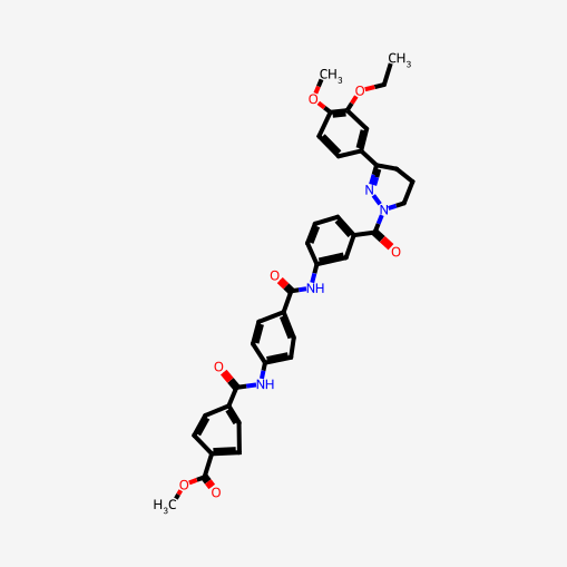 CCOc1cc(C2=NN(C(=O)c3cccc(NC(=O)c4ccc(NC(=O)c5ccc(C(=O)OC)cc5)cc4)c3)CCC2)ccc1OC